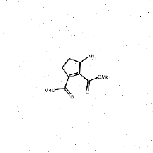 COC(=O)C1=C(C(=O)OC)C(N)CC1